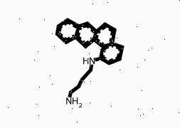 NCCCCNc1cccc2ccc3cc4ccccc4cc3c12